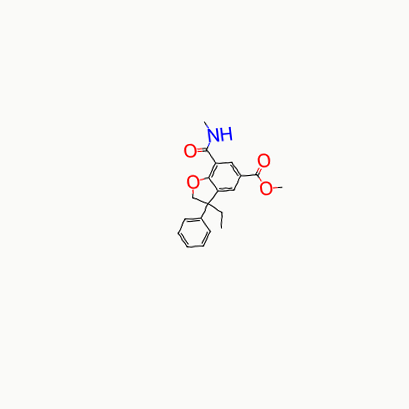 CCC1(c2ccccc2)COc2c(C(=O)NC)cc(C(=O)OC)cc21